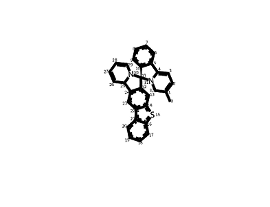 CC1=CC=C2c3ccccc3[C@]3(c4cc5sc6ccccc6c5cc4C4C=CC=CN43)N2C1